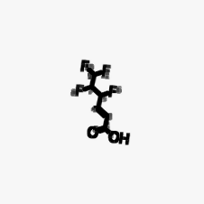 O=C(O)C=CC(F)C(F)C(F)F